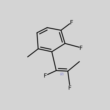 C/C(F)=C(/F)c1c(C)ccc(F)c1F